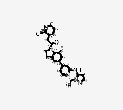 [2H]Cn1nccc1Nc1cc(-c2cc(F)c3c(c2)CCN3C(=O)Cc2cccnc2Cl)ccn1